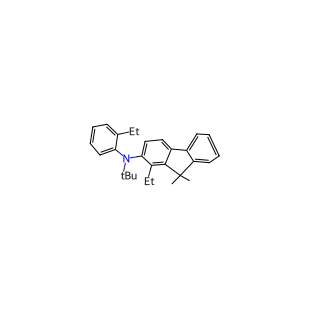 CCc1ccccc1N(c1ccc2c(c1CC)C(C)(C)c1ccccc1-2)C(C)(C)C